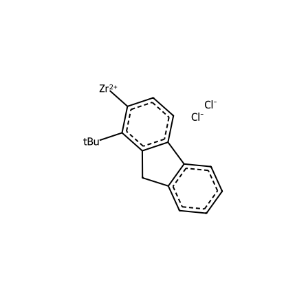 CC(C)(C)c1[c]([Zr+2])ccc2c1Cc1ccccc1-2.[Cl-].[Cl-]